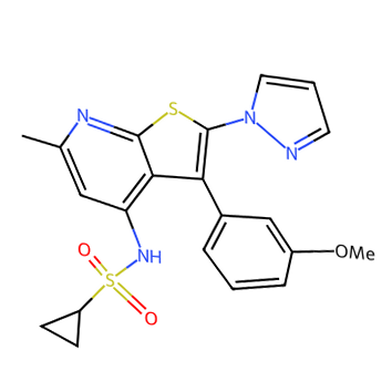 COc1cccc(-c2c(-n3cccn3)sc3nc(C)cc(NS(=O)(=O)C4CC4)c23)c1